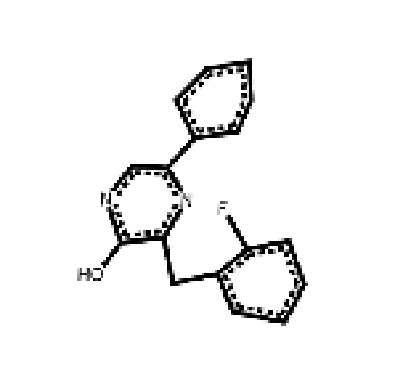 Oc1ncc(-c2ccccc2)nc1Cc1ccccc1F